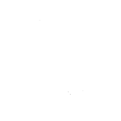 CC(=O)N1CCCC2=C1CCc1cc(F)ccc12